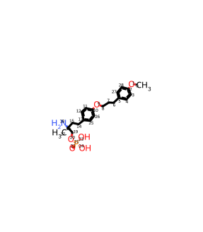 COc1ccc(CCCOc2ccc(CC[C@@](C)(N)COP(=O)(O)O)cc2)cc1